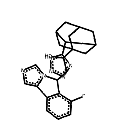 OC(CC1c2c(F)cccc2-c2cncn21)C12CC3CC(C1)C(c1nnn[nH]1)C(C3)C2